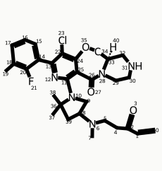 C=CC(=O)CCN(C)C1CN(c2nc(-c3cccc(C)c3F)c(Cl)c3c2C(=O)N2CCNC[C@@H]2CO3)C(C)(C)C1